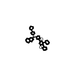 c1ccc(-c2ccc(N(c3ccc4ccccc4c3)c3ccc4oc5c(-c6ccccc6)c6c(cc5c4c3)oc3ccccc36)cc2)cc1